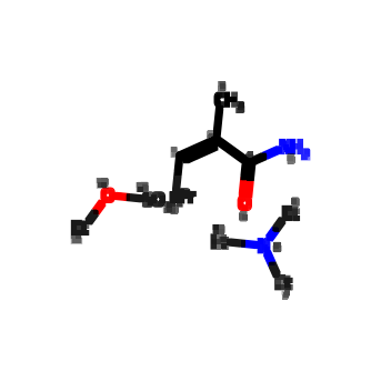 CCCC=C(C)C(N)=O.CCN(CC)CC.CCOS(=O)(=O)O